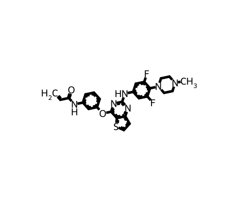 C=CC(=O)Nc1cccc(Oc2nc(Nc3cc(F)c(N4CCN(C)CC4)c(F)c3)nc3ccsc23)c1